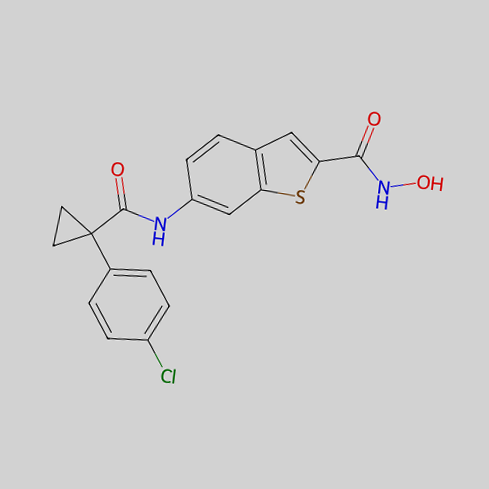 O=C(NO)c1cc2ccc(NC(=O)C3(c4ccc(Cl)cc4)CC3)cc2s1